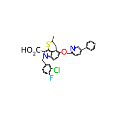 CC1Cc2c(OCc3ccc(-c4ccccc4)cn3)ccc3c2c(c(C(=O)O)n3Cc2ccc(F)c(Cl)c2)S1